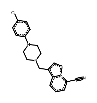 N#Cc1cccc2c(CN3CCN(c4ccc(Cl)cc4)CC3)cnn12